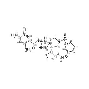 CN(CC1CCCO1)Sc1cccc(C(=O)N2CCC3(CC2)CN/C(=N\C(=O)c2nc(Cl)c(N)nc2N)N3)c1